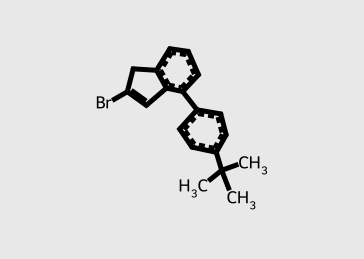 CC(C)(C)c1ccc(-c2cccc3c2C=C(Br)C3)cc1